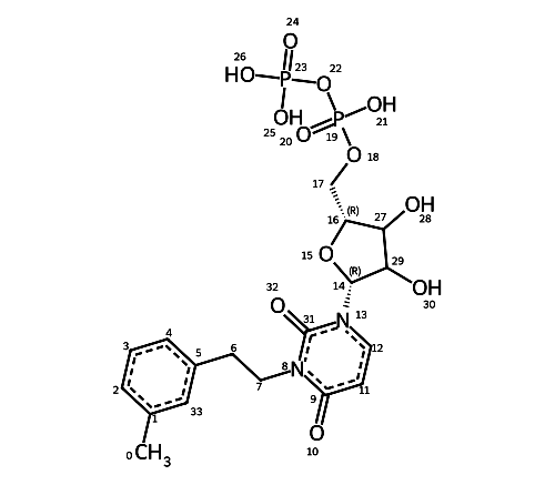 Cc1cccc(CCn2c(=O)ccn([C@@H]3O[C@H](COP(=O)(O)OP(=O)(O)O)C(O)C3O)c2=O)c1